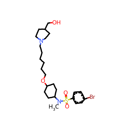 CN(C1CCC(OCCCCCCN2CCC(CO)CC2)CC1)S(=O)(=O)c1ccc(Br)cc1